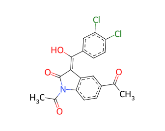 CC(=O)c1ccc2c(c1)/C(=C(/O)c1ccc(Cl)c(Cl)c1)C(=O)N2C(C)=O